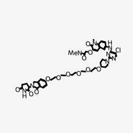 CNC(=O)COc1cc2cc(Nc3nc(N4CCC(OCCOCCOCCOCCOCCOc5ccc6c(c5)CN(C5CCC(=O)NC5=O)C6=O)CC4)ncc3Cl)ccc2n(C)c1=O